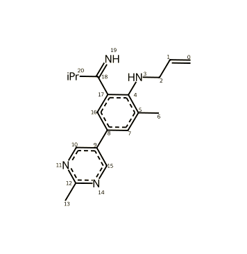 C=CCNc1c(C)cc(-c2cnc(C)nc2)cc1C(=N)C(C)C